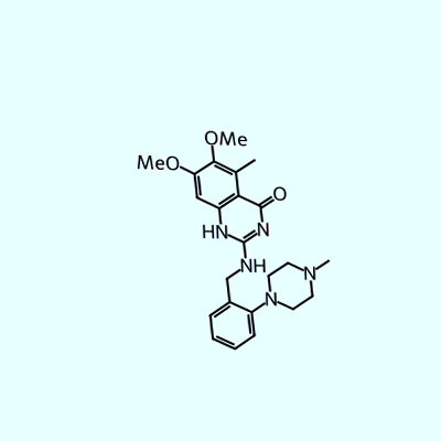 COc1cc2[nH]c(NCc3ccccc3N3CCN(C)CC3)nc(=O)c2c(C)c1OC